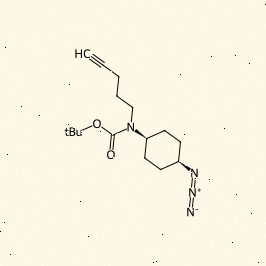 C#CCCCN(C(=O)OC(C)(C)C)[C@H]1CC[C@@H](N=[N+]=[N-])CC1